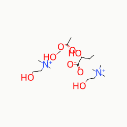 CC(=O)[O-].CCC(O)C(=O)[O-].CO.C[N+](C)(C)CCO.C[N+](C)(C)CCO